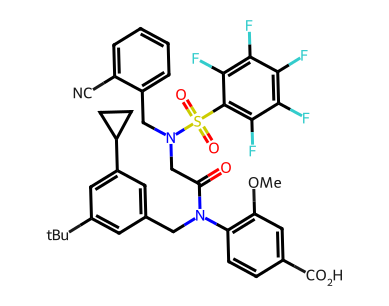 COc1cc(C(=O)O)ccc1N(Cc1cc(C2CC2)cc(C(C)(C)C)c1)C(=O)CN(Cc1ccccc1C#N)S(=O)(=O)c1c(F)c(F)c(F)c(F)c1F